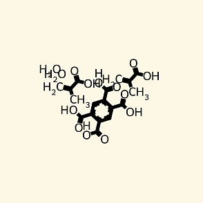 C=C(C)C(=O)O.C=C(C)C(=O)O.O.O.O=C(O)c1cc(C(=O)O)c(C(=O)O)cc1C(=O)O